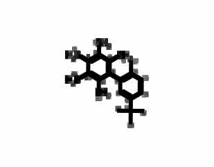 Bc1c(B)c(B)c(-c2cc(C(C)(C)C)ccc2C)c(B)c1B